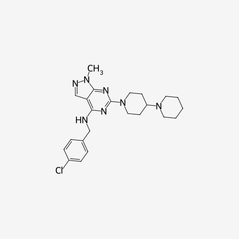 Cn1ncc2c(NCc3ccc(Cl)cc3)nc(N3CCC(N4CCCCC4)CC3)nc21